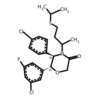 CC(C)SCCC(C)N1C(=O)CO[C@H](c2cc(F)cc(Cl)c2)[C@H]1c1ccc(Cl)cc1